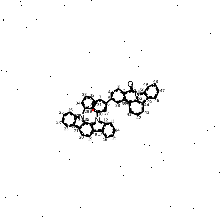 O=c1c2ccc(-c3cccc(-n4c5ccccc5c5ccc6c7ccccc7n(-c7ccccc7)c6c54)c3)cc2c2cccc3c4ccccc4n1c23